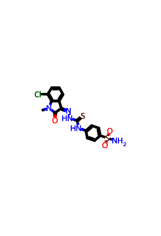 CN1C(=O)C(=NNC(=S)Nc2ccc(S(N)(=O)=O)cc2)c2cccc(Cl)c21